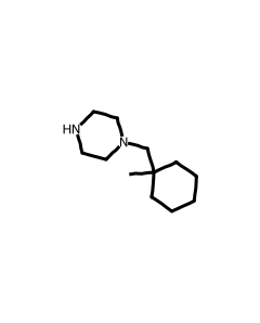 CC1(CN2CCNCC2)CCCCC1